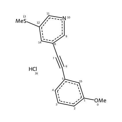 COc1cccc(C#Cc2cncc(SC)c2)c1.Cl